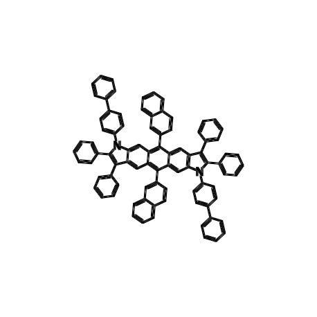 c1ccc(-c2ccc(-n3c(-c4ccccc4)c(-c4ccccc4)c4cc5c(-c6ccc7ccccc7c6)c6cc7c(cc6c(-c6ccc8ccccc8c6)c5cc43)c(-c3ccccc3)c(-c3ccccc3)n7-c3ccc(-c4ccccc4)cc3)cc2)cc1